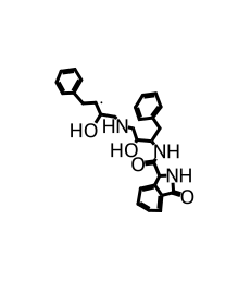 O=C1NC(C(=O)NC(Cc2ccccc2)C(O)CNCC(O)[CH]Cc2ccccc2)c2ccccc21